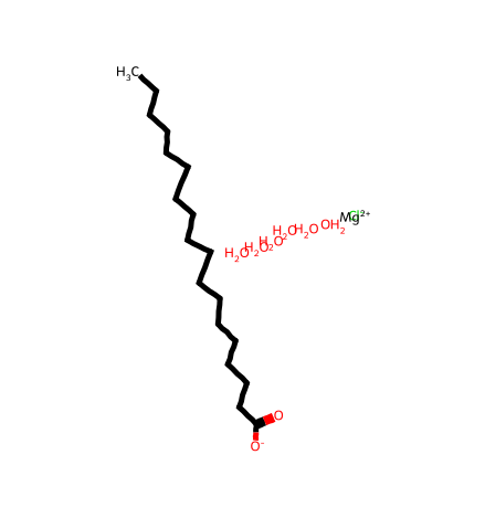 CCCCCCCCCCCCCCCCCC(=O)[O-].O.O.O.O.O.O.[Cl-].[Mg+2]